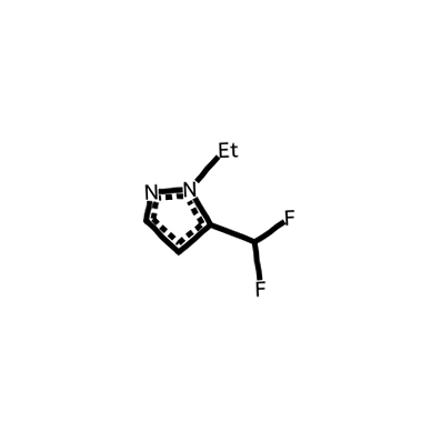 CCn1nccc1C(F)F